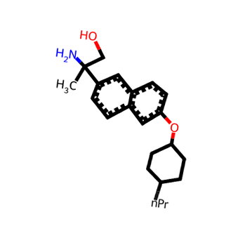 CCCC1CCC(Oc2ccc3cc(C(C)(N)CO)ccc3c2)CC1